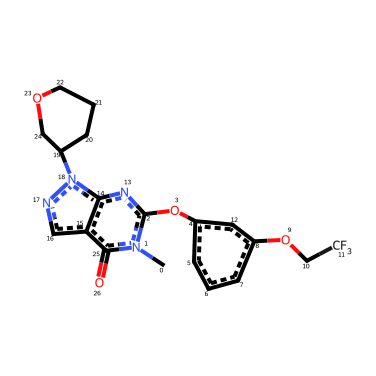 Cn1c(Oc2cccc(OCC(F)(F)F)c2)nc2c(cnn2C2CCCOC2)c1=O